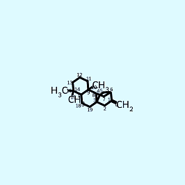 C=C1CC23CCC1CC2C1(C)CCCC(C)(C)C1CC3